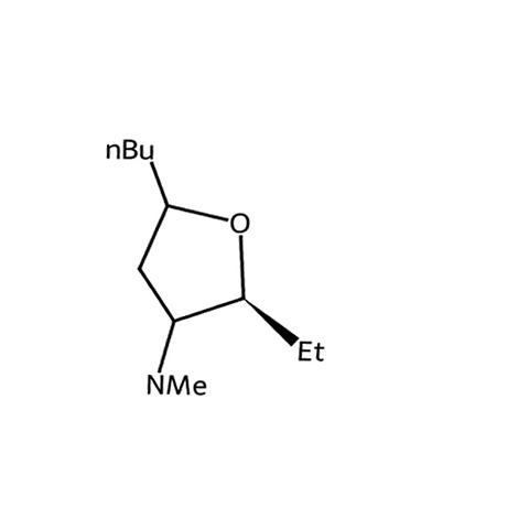 CCCCC1CC(NC)[C@H](CC)O1